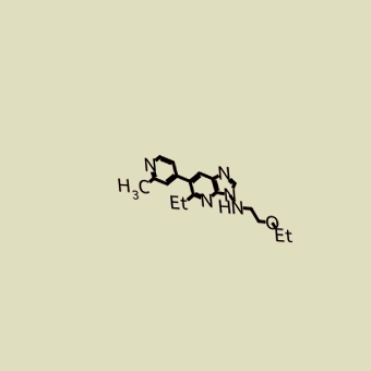 CCOCCNn1cnc2cc(-c3ccnc(C)c3)c(CC)nc21